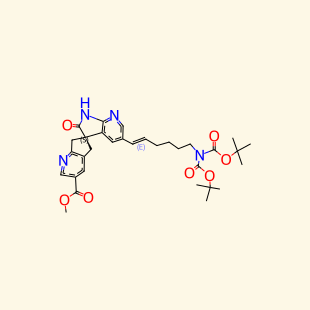 COC(=O)c1cnc2c(c1)C[C@@]1(C2)C(=O)Nc2ncc(/C=C/CCCCN(C(=O)OC(C)(C)C)C(=O)OC(C)(C)C)cc21